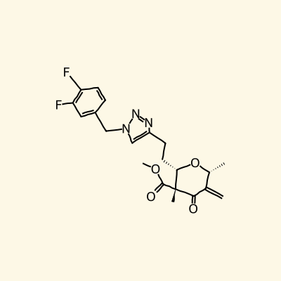 C=C1C(=O)[C@](C)(C(=O)OC)[C@H](CCc2cn(Cc3ccc(F)c(F)c3)nn2)O[C@@H]1C